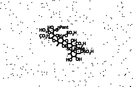 CCCCCOC(O)C(OS(=O)(=O)O)C(O)C(CC(=O)O)OC1OC(COS(=O)(=O)O)C(OC(OS(=O)(=O)O)C(O)C(OC2OC(COS(=O)(=O)O)C(O)C(O)C2C)C(OC)C(=O)O)C(O)C1C